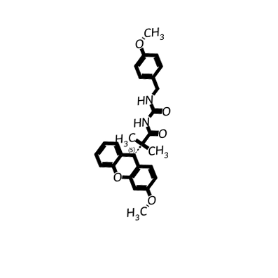 COc1ccc(CNC(=O)NC(=O)C(C)(C)[C@H]2c3ccccc3Oc3cc(OC)ccc32)cc1